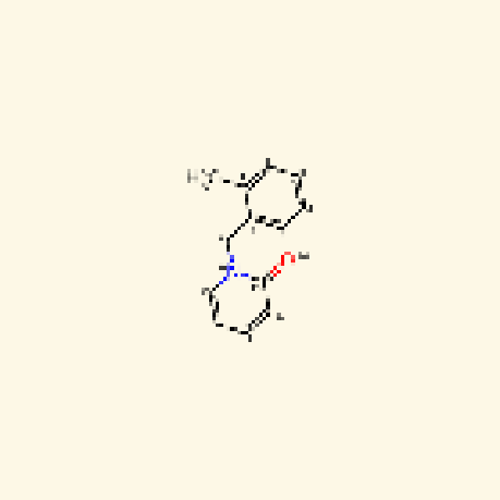 Cc1ccccc1Cn1ccccc1=O